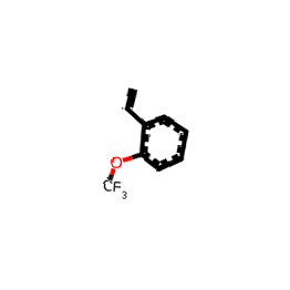 C=[C]c1ccccc1OC(F)(F)F